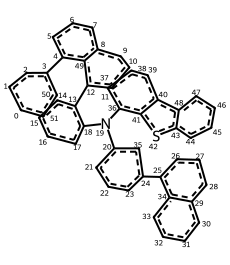 c1ccc(-c2cccc3cccc(-c4ccccc4N(c4cccc(-c5cccc6ccccc56)c4)c4cccc5c4sc4ccccc45)c23)cc1